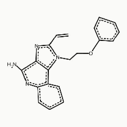 C=Cc1nc2c(N)nc3ccccc3c2n1CCOc1ccccc1